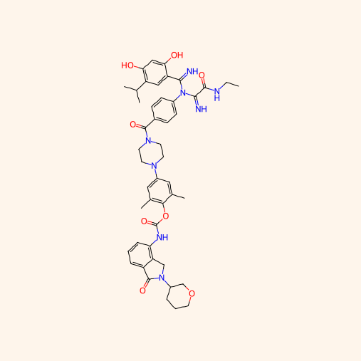 CCNC(=O)C(=N)N(C(=N)c1cc(C(C)C)c(O)cc1O)c1ccc(C(=O)N2CCN(c3cc(C)c(OC(=O)Nc4cccc5c4CN(C4CCCOC4)C5=O)c(C)c3)CC2)cc1